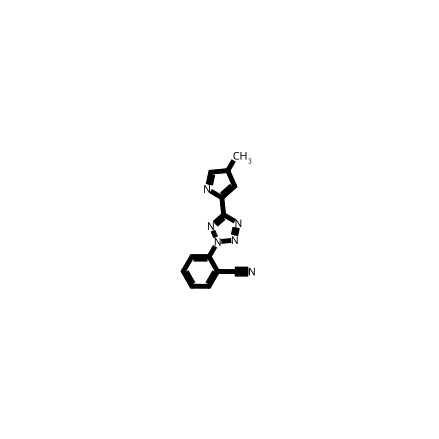 CC1C=NC(c2nnn(-c3ccccc3C#N)n2)=C1